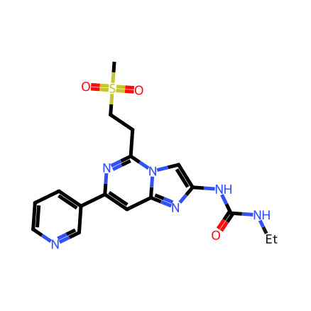 CCNC(=O)Nc1cn2c(CCS(C)(=O)=O)nc(-c3cccnc3)cc2n1